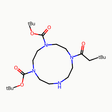 CC(C)(C)CC(=O)N1CCNCCN(C(=O)OC(C)(C)C)CCN(C(=O)OC(C)(C)C)CC1